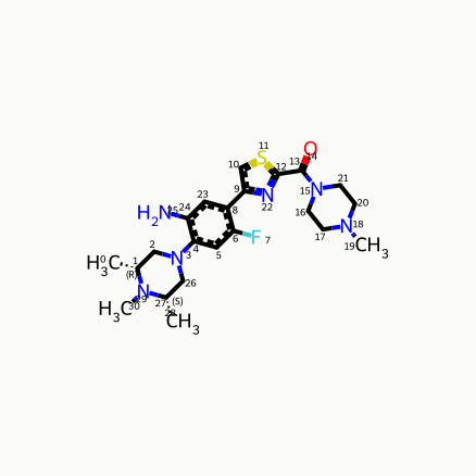 C[C@@H]1CN(c2cc(F)c(-c3csc(C(=O)N4CCN(C)CC4)n3)cc2N)C[C@H](C)N1C